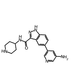 Nc1cncc(-c2ccc3[nH]nc(C(=O)NC4CCNCC4)c3c2)c1